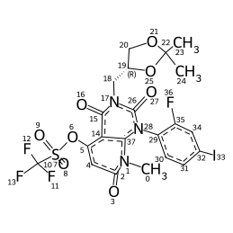 Cn1c(=O)cc(OS(=O)(=O)C(F)(F)F)c2c(=O)n(C[C@@H]3COC(C)(C)O3)c(=O)n(-c3ccc(I)cc3F)c21